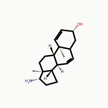 C[C@]12CC[C@H]3[C@@H](C=CC4C[C@@H](O)C=C[C@@]43C)[C@@H]1CC[C@@H]2N